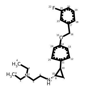 CCN(CC)CCN[C@H]1CC1c1ccc(OCc2cccc(F)c2)cc1